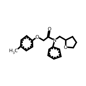 Cc1ccc(OCC(=O)N(CC2CCCO2)c2ccccc2)cc1